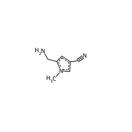 Cn1cc(C#N)cc1CN